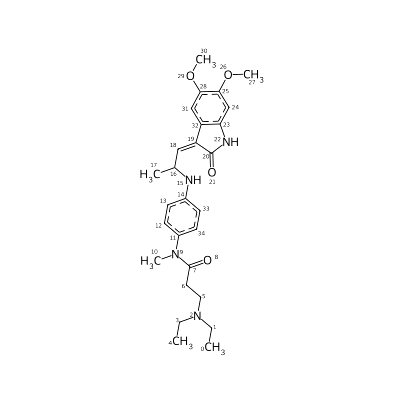 CCN(CC)CCC(=O)N(C)c1ccc(NC(C)C=C2C(=O)Nc3cc(OC)c(OC)cc32)cc1